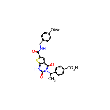 COc1ccc(CNC(=O)c2cc3c(=O)n(C(C)c4ccc(C(=O)O)cc4)c(=O)[nH]c3s2)cc1